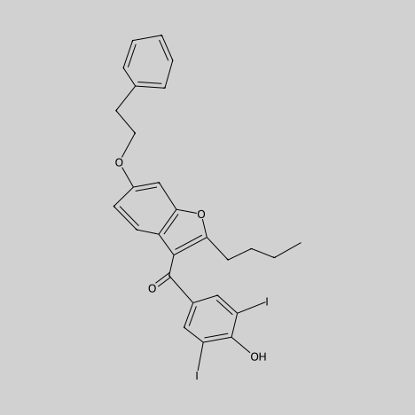 CCCCc1oc2cc(OCCc3ccccc3)ccc2c1C(=O)c1cc(I)c(O)c(I)c1